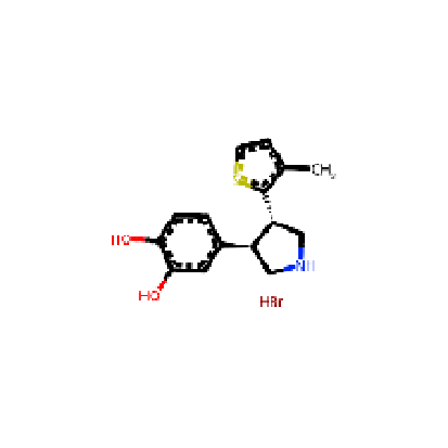 Br.Cc1ccsc1[C@@H]1CNC[C@H]1c1ccc(O)c(O)c1